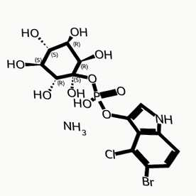 N.O=P(O)(Oc1c[nH]c2ccc(Br)c(Cl)c12)O[C@]1(O)[C@H](O)[C@H](O)[C@@H](O)[C@H](O)[C@H]1O